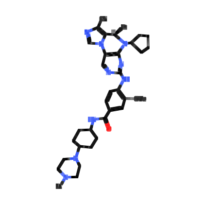 CC[C@@H]1c2c(C#N)ncn2-c2cnc(Nc3ccc(C(=O)NC4CCC(N5CCN(CC)CC5)CC4)cc3OC)nc2N1C1CCCC1